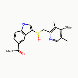 COC(=O)c1ccc2[nH]cc([S+]([O-])Cc3ncc(C)c(OC)c3C)c2c1